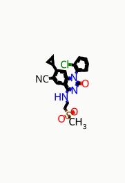 CS(=O)(=O)CCNc1nc(=O)n(-c2ccccc2Cl)c2cc(C3CC3)c(C#N)cc12